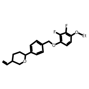 C=CC1CCC(c2ccc(COc3ccc(OCC)c(F)c3F)cc2)OC1